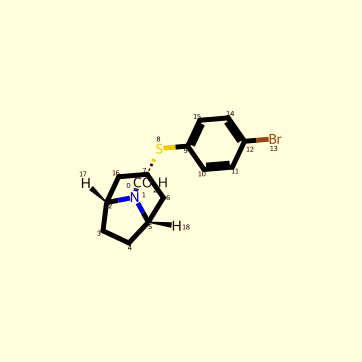 O=C(O)N1[C@@H]2CC[C@H]1C[C@@H](Sc1ccc(Br)cc1)C2